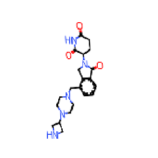 O=C1CCC(N2Cc3c(CN4CCN(C5CNC5)CC4)cccc3C2=O)C(=O)N1